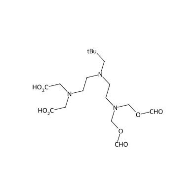 CC(C)(C)CN(CCN(COC=O)COC=O)CCN(CC(=O)O)CC(=O)O